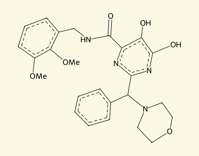 COc1cccc(CNC(=O)c2nc(C(c3ccccc3)N3CCOCC3)nc(O)c2O)c1OC